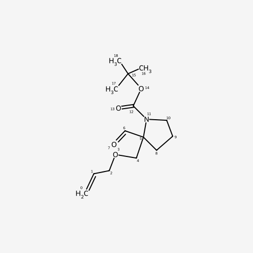 C=CCOCC1(C=O)CCCN1C(=O)OC(C)(C)C